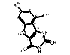 O=c1[nH]c(=O)c2[nH]c3cc(Br)cc(F)c3c2[nH]1